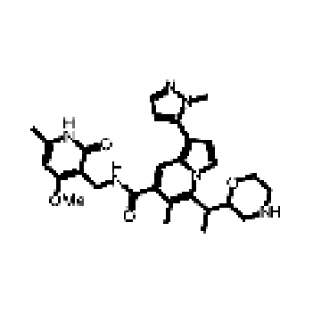 COc1cc(C)[nH]c(=O)c1CNC(=O)c1cc2c(-c3ccnn3C)ccn2c(C(C)C2CNCCO2)c1C